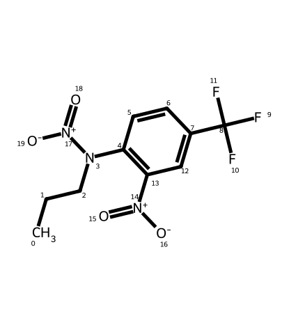 CCCN(c1ccc(C(F)(F)F)cc1[N+](=O)[O-])[N+](=O)[O-]